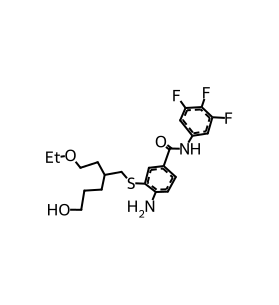 CCOCCC(CCCO)CSc1cc(C(=O)Nc2cc(F)c(F)c(F)c2)ccc1N